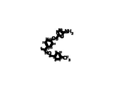 CC(=NOCc1ccc(C(F)(F)F)cc1)c1ccc(OCc2nnc(N)o2)cc1